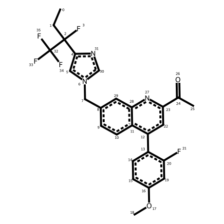 CCC(F)(c1cn(Cc2ccc3c(-c4ccc(OC)cc4F)cc(C(C)=O)nc3c2)cn1)C(F)(F)F